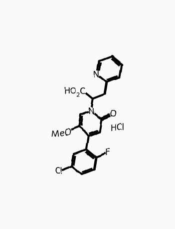 COc1cn(C(Cc2ccccn2)C(=O)O)c(=O)cc1-c1cc(Cl)ccc1F.Cl